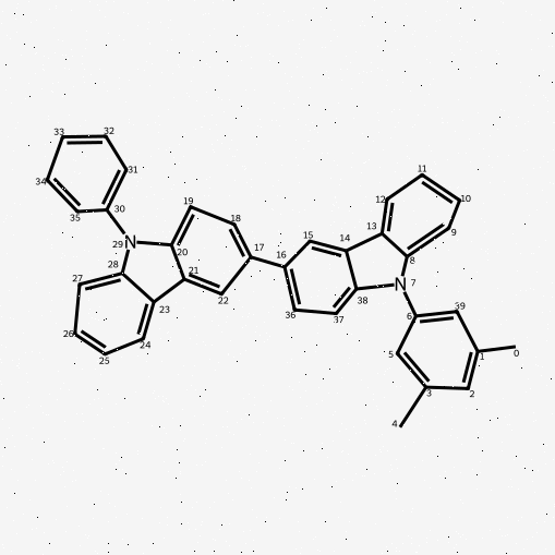 Cc1cc(C)cc(-n2c3ccccc3c3cc(-c4ccc5c(c4)c4ccccc4n5-c4ccccc4)ccc32)c1